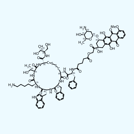 COc1cccc2c1C(=O)c1c(O)c3c(c(O)c1C2=O)C[C@@](O)(C(=O)COC(=O)CCCC(=O)N[C@H](Cc1ccccc1)C(=O)N[C@H]1CSSC[C@@H](C(=O)N[C@H](CO)[C@@H](C)O)NC(=O)[C@H]([C@@H](C)O)NC(=O)[C@H](CCCCCN)NC(=O)[C@@H](Cc2c[nH]c4ccccc24)NC(=O)[C@H](Cc2ccccc2)NC1=O)C[C@@H]3O[C@H]1C[C@H](N)[C@H](O)[C@H](C)O1